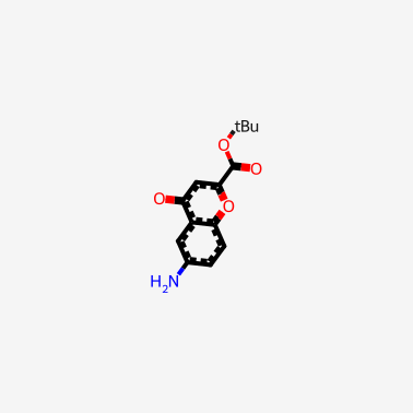 CC(C)(C)OC(=O)c1cc(=O)c2cc(N)ccc2o1